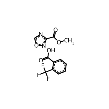 COC(=O)c1ncon1.O=C(O)c1ccccc1C(F)(F)F